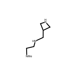 CNCCNCC1CNC1